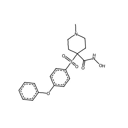 CN1CCC(C(=O)NO)(S(=O)(=O)c2ccc(Oc3ccccc3)cc2)CC1